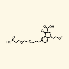 COCCn1cc(C(=O)O)c(=O)c2cc(CCCOCCOCCC(=O)O)ccc21